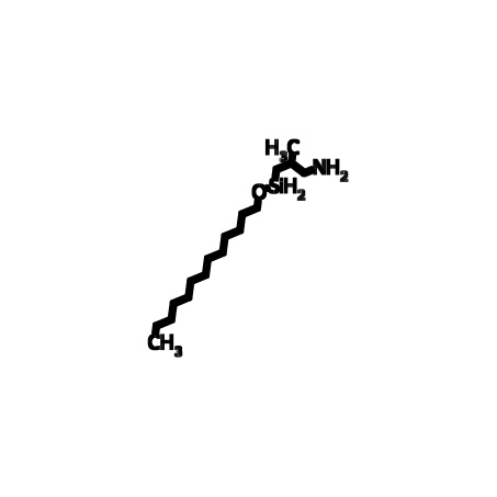 CCCCCCCCCCCCCO[SiH2]CC(C)CN